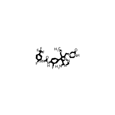 COCc1c(-c2ccc(NC(=O)Nc3cc(C(F)(F)F)ccc3F)c(F)c2)c2c(N)ncnn2c1CN1CCNC(=O)C1